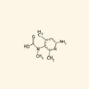 Cc1cc(N)nc(C)c1N(C)C(=O)O